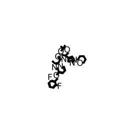 Cc1nc2c(OCc3c(F)cccc3F)cccn2c1C(=O)NC1(c2cnn(C3CCCCO3)c2)COC(C)(C)OC1